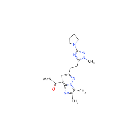 CNC(=O)c1cc(CCc2nc(N3CCCC3)nn2C)nn2c(C)c(C)nc12